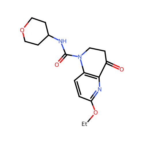 CCOc1ccc2c(n1)C(=O)CCN2C(=O)NC1CCOCC1